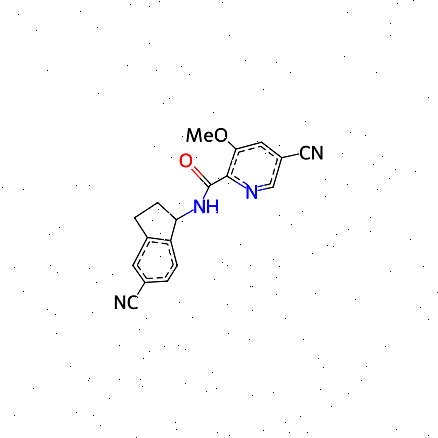 COc1cc(C#N)cnc1C(=O)NC1CCc2cc(C#N)ccc21